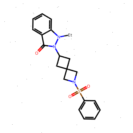 CCn1c2ccccc2c(=O)n1C1CC2(C1)CN(S(=O)(=O)c1ccccc1)C2